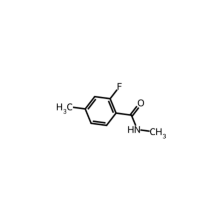 CNC(=O)c1ccc(C)cc1F